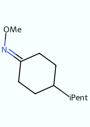 CCCC(C)C1CCC(=NOC)CC1